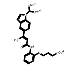 CCCCCC(CCCCC)n1ccc2cc(C(C)=CC(=O)Nc3ccccc3OCCCC(=O)O)ccc21